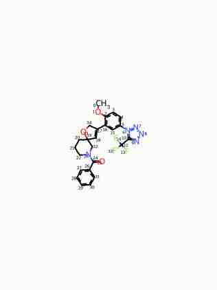 COc1ccc(-n2nnnc2C(F)(F)F)cc1C1=CC2(CCCN(C(=O)c3ccccc3)C2)OC1